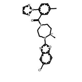 Cc1ccc(-n2nccn2)c(C(=O)N2CC[C@@H](C)N(c3nc4cc(Cl)ccc4o3)CC2)c1